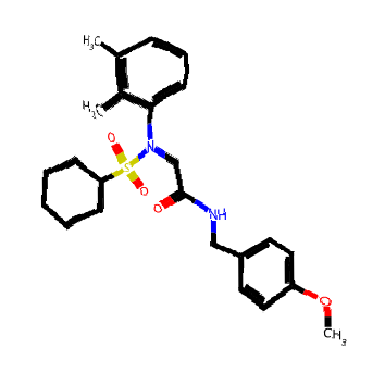 COc1ccc(CNC(=O)CN(c2cccc(C)c2C)S(=O)(=O)C2CCCCC2)cc1